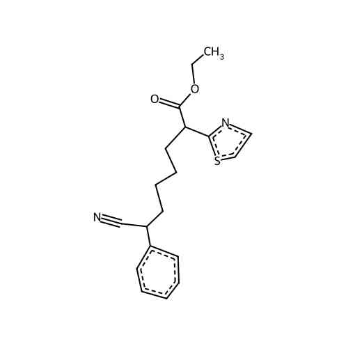 CCOC(=O)C(CCCCC(C#N)c1ccccc1)c1nccs1